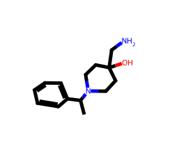 CC(c1ccccc1)N1CCC(O)(CN)CC1